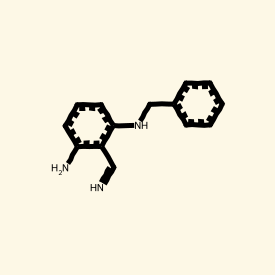 N=Cc1c(N)cccc1NCc1ccccc1